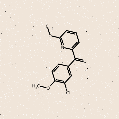 COc1cccc(C(=O)c2ccc(OC)c(Cl)c2)n1